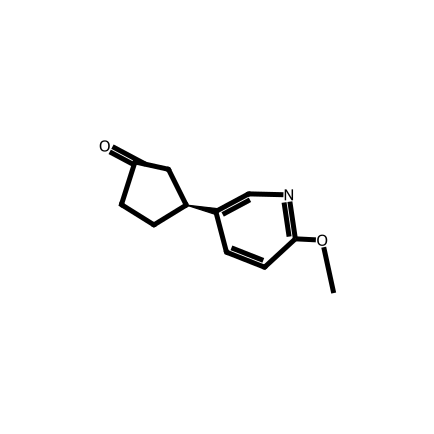 COc1ccc([C@H]2CCC(=O)C2)cn1